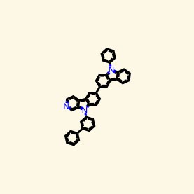 c1ccc(-c2cccc(-n3c4ccc(-c5ccc6c(c5)c5ccccc5n6-c5ccccc5)cc4c4ccncc43)c2)cc1